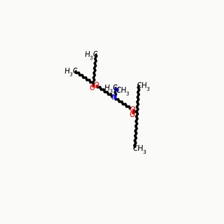 CCCCCCCCCCCCCCCC(CCCCCCCCCCC)C(=O)OCCCCCCCCCN(CCCCCCCCCOC(=O)C(CCCCCCCCCC)CCCCCCCCCCCC)CCN(C)C